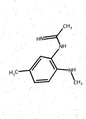 CNc1ccc(C)cc1NC(C)=N